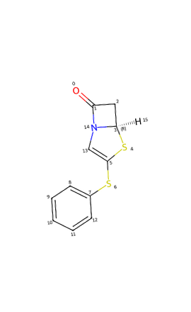 O=C1C[C@H]2SC(Sc3ccccc3)=CN12